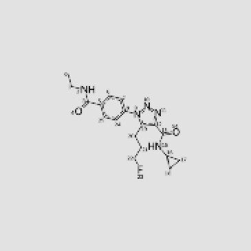 CCNC(=O)c1ccc(-n2nnc(C(=O)NC3CC3)c2CCCF)cc1